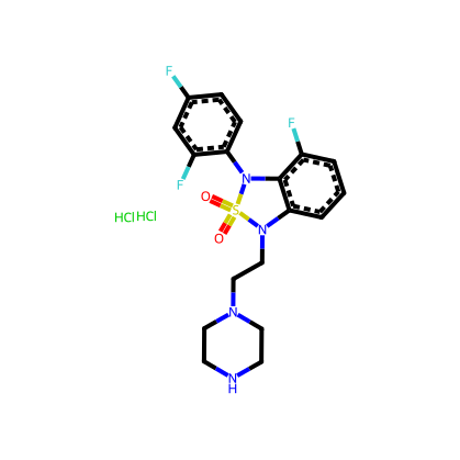 Cl.Cl.O=S1(=O)N(CCN2CCNCC2)c2cccc(F)c2N1c1ccc(F)cc1F